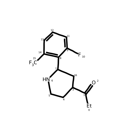 CCC(=O)C1CCNC(c2c(F)cccc2C(F)(F)F)C1